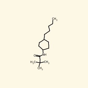 CCCCCC1CCC(NC(=O)C(C)(C)C)CC1